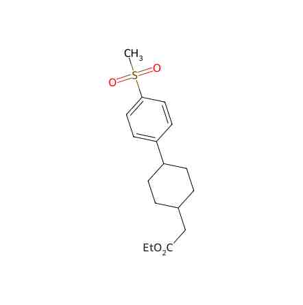 CCOC(=O)CC1CCC(c2ccc(S(C)(=O)=O)cc2)CC1